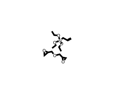 C(OCC1CO1)C1CO1.C=CC[Si](OCC)(OCC)OCC